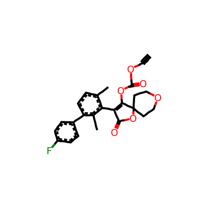 C#COC(=O)OC1=C(c2c(C)ccc(-c3ccc(F)cc3)c2C)C(=O)OC12CCOCC2